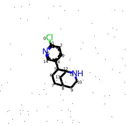 Clc1ccc(C2CCC3CCNC2C3)cn1